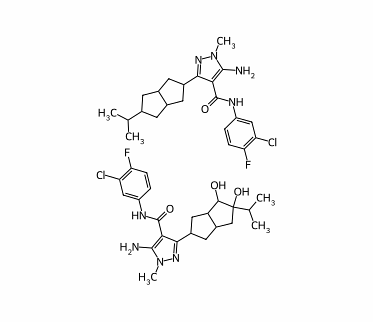 CC(C)C1(O)CC2CC(c3nn(C)c(N)c3C(=O)Nc3ccc(F)c(Cl)c3)CC2C1O.CC(C)C1CC2CC(c3nn(C)c(N)c3C(=O)Nc3ccc(F)c(Cl)c3)CC2C1